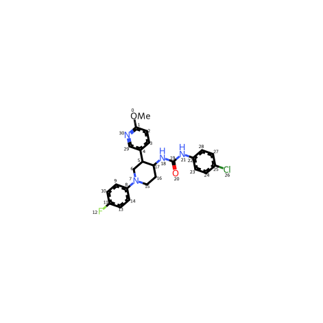 COc1ccc(C2CN(c3ccc(F)cc3)CCC2NC(=O)Nc2ccc(Cl)cc2)cn1